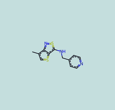 Cc1csc2c(NCc3ccncc3)snc12